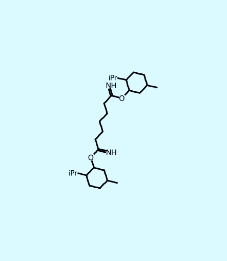 CC1CCC(C(C)C)C(OC(=N)CCCCCC(=N)OC2CC(C)CCC2C(C)C)C1